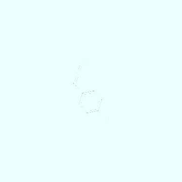 Clc1ccc(N=C=[Se])cc1